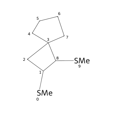 CSC1CC2(CCCC2)C1SC